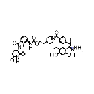 CC(C)c1cc(/C(=N/N)Nc2ccc(C(=O)N3CCC(CCOC(=O)Nc4cccc5c4CN(C4CCC(=O)NC4=O)C5=O)CC3)cc2)c(O)cc1O